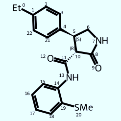 CCc1ccc([C@H]2CNC(=O)[C@@H]2C(=O)Nc2ccccc2SC)cc1